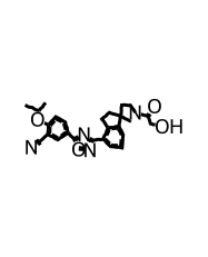 CC(C)Oc1ccc(-c2nc(-c3cccc4c3CCC43CCN(C(=O)CO)C3)no2)cc1C#N